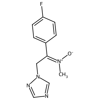 C[N+]([O-])=C(Cn1cncn1)c1ccc(F)cc1